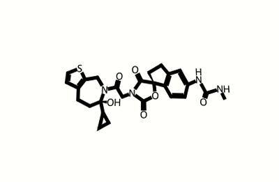 CNC(=O)Nc1ccc2c(c1)CC[C@]21OC(=O)N(CC(=O)N2Cc3sccc3CC[C@@]2(O)C2CC2)C1=O